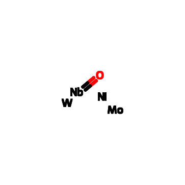 [Mo].[Ni].[O]=[Nb].[W]